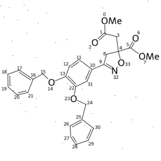 COC(=O)CC1(C(=O)OC)CC(c2ccc(OCc3ccccc3)c(OCc3ccccc3)c2)=NO1